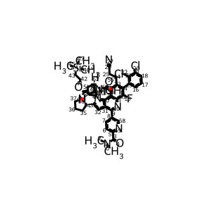 CN(C)C(=O)c1ccc(-c2nc3c(F)c(-c4cccc(Cl)c4Cl)c(CCC#N)cc3c3c2cc([C@H]2CCCN2C(=O)OCC[Si](C)(C)C)n3[C@H]2[C@@H]3C[C@H]2N(C(=O)O)C3)cn1